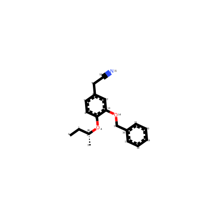 CC[C@@H](C)Oc1ccc(CC#N)cc1OCc1ccccc1